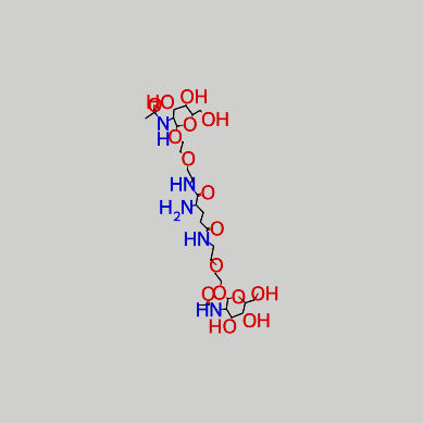 CC(=O)NC1C(OCCOCCNC(=O)CCC(N)C(=O)NCCOCCOC2OC(CO)C(O)C(O)C2NC(C)=O)OC(CO)C(O)C1O